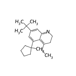 CCC1=c2c(C3(C)CCCC3)cc(C(C)(C)C)cc2=NCC1